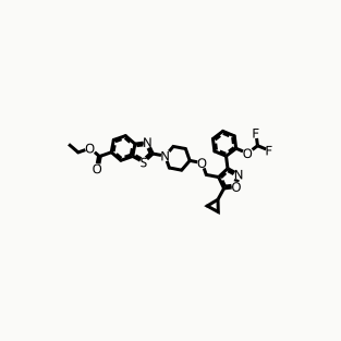 CCOC(=O)c1ccc2nc(N3CCC(OCc4c(-c5ccccc5OC(F)F)noc4C4CC4)CC3)sc2c1